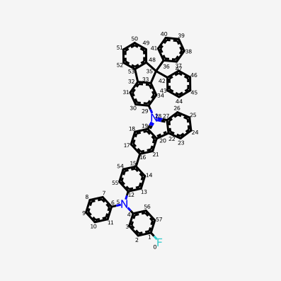 Fc1ccc(N(c2ccccc2)c2ccc(-c3ccc4c(c3)c3ccccc3n4-c3ccc4c(c3)C(c3ccccc3)(c3ccccc3)c3ccccc3-4)cc2)cc1